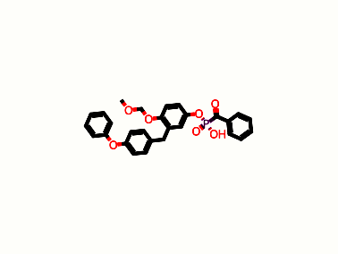 COCOc1ccc(OP(=O)(O)C(=O)c2ccccc2)cc1Cc1ccc(Oc2ccccc2)cc1